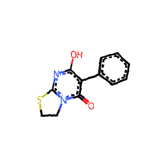 O=c1c(-c2ccccc2)c(O)nc2n1CCS2